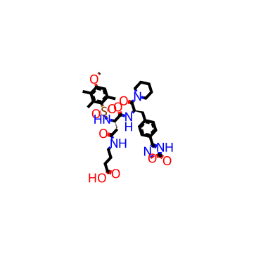 COc1cc(C)c(S(=O)(=O)N[C@@H](CC(=O)NCCCC(=O)O)C(=O)N[C@H](Cc2ccc(-c3noc(=O)[nH]3)cc2)C(=O)N2CCCCC2)c(C)c1C